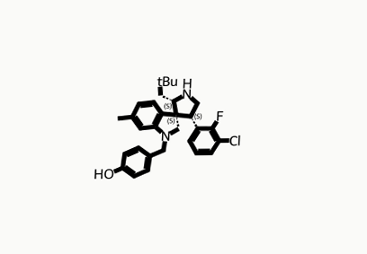 Cc1ccc2c(c1)N(Cc1ccc(O)cc1)C[C@@]21[C@H](CC(C)(C)C)NC[C@@H]1c1cccc(Cl)c1F